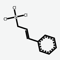 Cl[Si](Cl)(Cl)CC=Cc1ccccc1